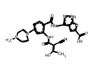 C/C(O)=C(\C#N)C(=O)Nc1cc(N2CCN(C)CC2)ccc1C(=O)Nc1n[nH]c2sc(C(=O)O)cc12